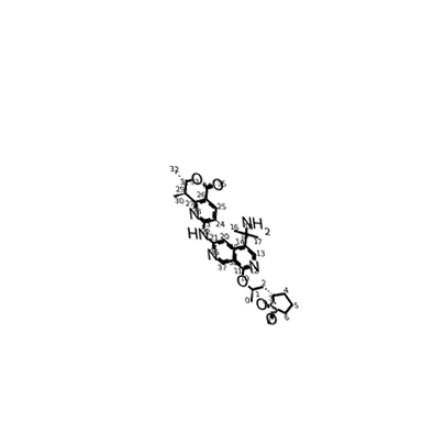 C[C@H](C[C@@H]1CCCS1(=O)=O)Oc1ncc(C(C)(C)N)c2cc(Nc3ccc4c(n3)[C@@H](C)[C@H](C)OC4=O)ncc12